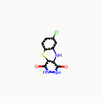 O=c1[nH][nH]c(=O)c2c1Nc1cc(Cl)ccc1S2